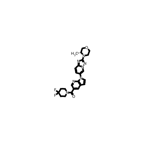 C[C@@H]1COCCN1c1nc2ccc(-n3ccc4cc(C(=O)N5CCC(F)(F)CC5)cnc43)cn2n1